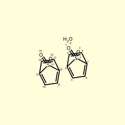 O.O=S1(=O)C2=CC=C1C=C2.O=S1(=O)C2=CC=C1C=C2